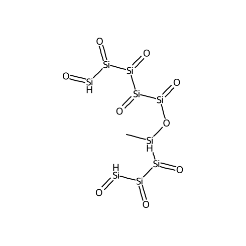 C[SiH](O[Si](=O)[Si](=O)[Si](=O)[Si](=O)[SiH]=O)[Si](=O)[Si](=O)[SiH]=O